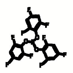 Fc1cc(F)c(OB(Oc2c(F)cc(F)cc2F)Oc2c(F)cc(F)cc2F)c(F)c1